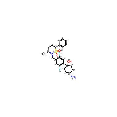 C[C@H]1CCC(c2ccccc2)S(=O)(=O)N1Cc1cc(F)c([C@]2(O)CC[C@@H](N)CC2)cc1F